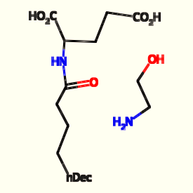 CCCCCCCCCCCCCC(=O)NC(CCC(=O)O)C(=O)O.NCCO